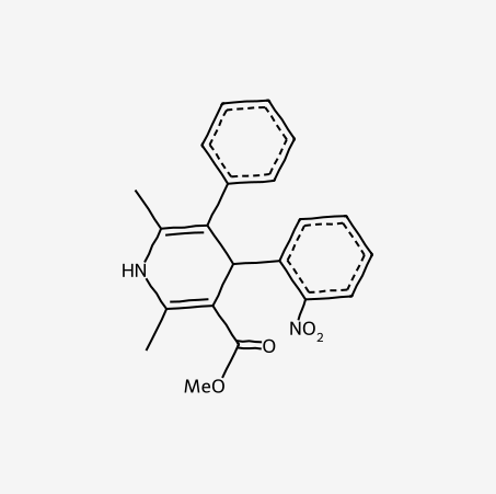 COC(=O)C1=C(C)NC(C)=C(c2ccccc2)C1c1ccccc1[N+](=O)[O-]